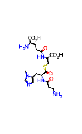 Cn1cncc1CC(NC(=O)CCN)C(=O)SCC(NC(=O)CCC(N)C(=O)O)C(=O)O